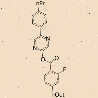 CCCCCCCCc1ccc(C(=O)Oc2cnc(-c3ccc(CCC)cc3)cn2)c(F)c1